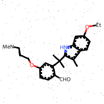 CCOc1ccc2c(C)c(C(C)(C)c3cc(OCCCNC)ccc3C=O)[nH]c2c1